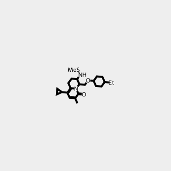 CCC1CCC(OCC2C(NSC)CCc3c(C4CC4)cc(C)c(=O)n32)CC1